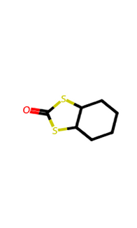 O=C1SC2CCCCC2S1